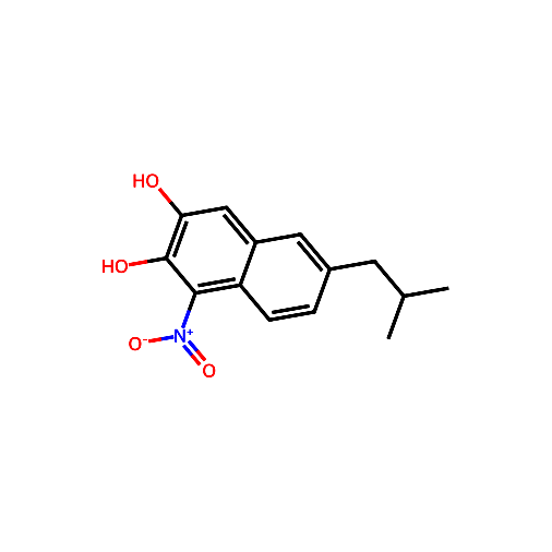 CC(C)Cc1ccc2c([N+](=O)[O-])c(O)c(O)cc2c1